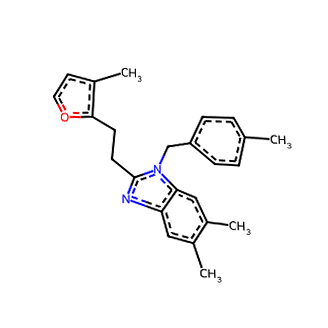 Cc1ccc(Cn2c(CCc3occc3C)nc3cc(C)c(C)cc32)cc1